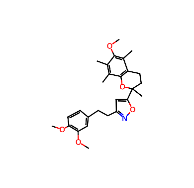 COc1ccc(CCc2cc(C3(C)CCc4c(C)c(OC)c(C)c(C)c4O3)on2)cc1OC